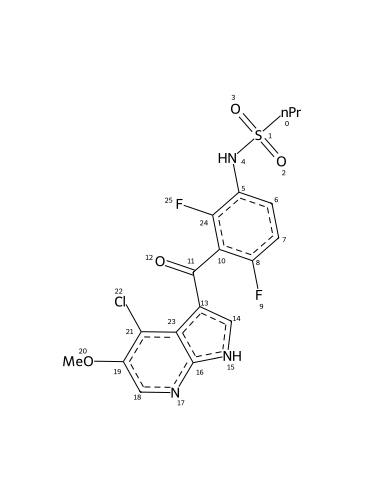 CCCS(=O)(=O)Nc1ccc(F)c(C(=O)c2c[nH]c3ncc(OC)c(Cl)c23)c1F